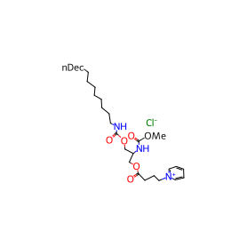 CCCCCCCCCCCCCCCCCCNC(=O)OCC(COC(=O)CCC[n+]1ccccc1)NC(=O)OC.[Cl-]